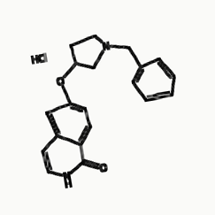 Cl.O=c1[nH]ccc2cc(OC3CCN(Cc4ccccc4)C3)ccc12